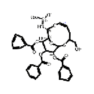 CC(C)(C)[S@@+]([O-])N[C@@H]1C/C=C\CC(CO)SC2O[C@H]1C(OC(=O)c1ccccc1)C(OC(=O)c1ccccc1)[C@H]2OC(=O)c1ccccc1